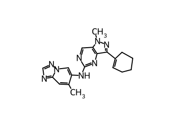 Cc1cc2ncnn2cc1Nc1ncc2c(n1)c(C1=CCCCC1)nn2C